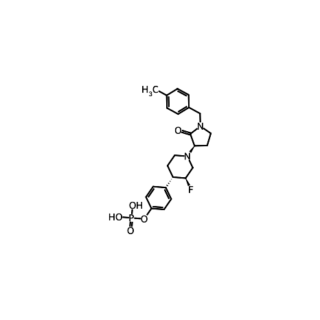 Cc1ccc(CN2CC[C@@H](N3CC[C@@H](c4ccc(OP(=O)(O)O)cc4)[C@H](F)C3)C2=O)cc1